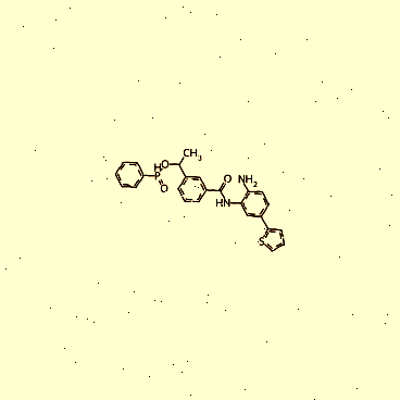 CC(O[PH](=O)c1ccccc1)c1cccc(C(=O)Nc2cc(-c3cccs3)ccc2N)c1